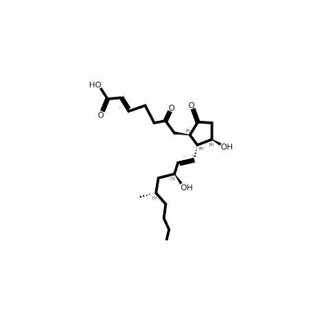 CCCC[C@H](C)C[C@H](O)/C=C/[C@H]1[C@H](O)CC(=O)[C@@H]1CC(=O)CC/C=C/C(=O)O